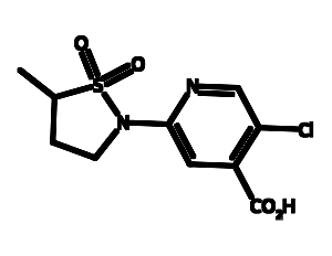 CC1CCN(c2cc(C(=O)O)c(Cl)cn2)S1(=O)=O